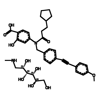 CNC[C@H](O)[C@@H](O)[C@H](O)[C@H](O)CO.COc1ccc(C#Cc2ccc(CN(C(=O)CCC3CCCC3)c3ccc(C(=O)O)c(O)c3)cc2)cc1